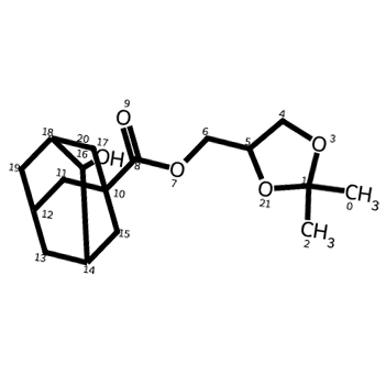 CC1(C)OCC(COC(=O)C23CC4CC(C2)C(O)C(C4)C3)O1